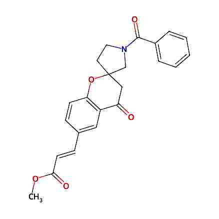 COC(=O)/C=C/c1ccc2c(c1)C(=O)CC1(CCN(C(=O)c3ccccc3)C1)O2